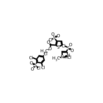 COC(=O)c1sccc1S(=O)(=O)Cl.Cl.Cn1cnc(S(=O)(=O)Cl)c1.O=S(=O)(Cl)c1c(Cl)cc(Cl)cc1Cl